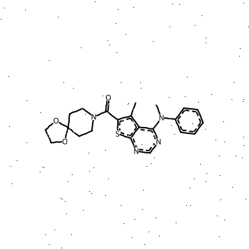 Cc1c(C(=O)N2CCC3(CC2)OCCO3)sc2ncnc(N(C)c3ccccc3)c12